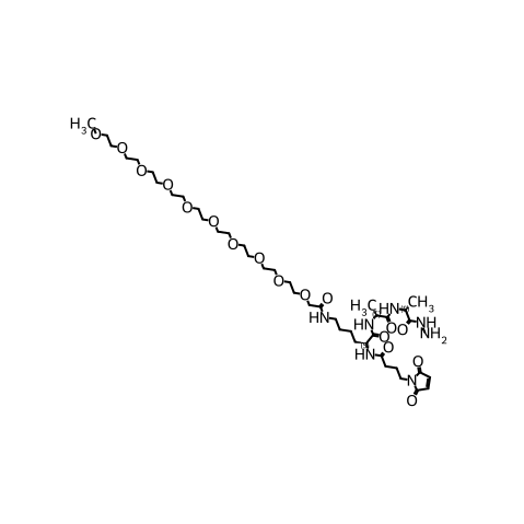 COCCOCCOCCOCCOCCOCCOCCOCCOCCOCC(=O)NCCCC[C@H](NC(=O)CCCN1C(=O)C=CC1=O)C(=O)N[C@@H](C)C(=O)N[C@@H](C)C(=O)NN